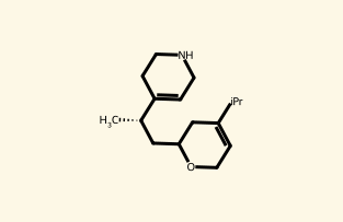 CC(C)C1=CCOC(C[C@H](C)C2=CCNCC2)C1